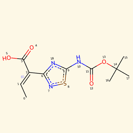 C/C=C(/C(=O)O)c1nsc(NC(=O)OC(C)(C)C)n1